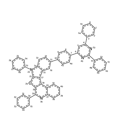 c1ccc(-c2cc(-c3ccc(-c4ccc5c(c4)c4c6c(oc4n5-c4ccccc4)c(-c4ccccc4)nc4ccccc46)cc3)nc(-c3ccccc3)n2)cc1